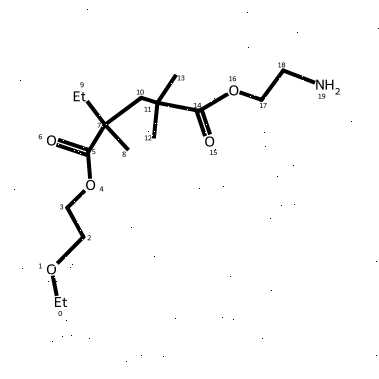 CCOCCOC(=O)C(C)(CC)CC(C)(C)C(=O)OCCN